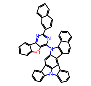 c1ccc2cc(-c3nc(-n4c5cc6c7ccccc7n7c8ccccc8c(c5c5ccc8ccccc8c54)c67)c4oc5ccccc5c4n3)ccc2c1